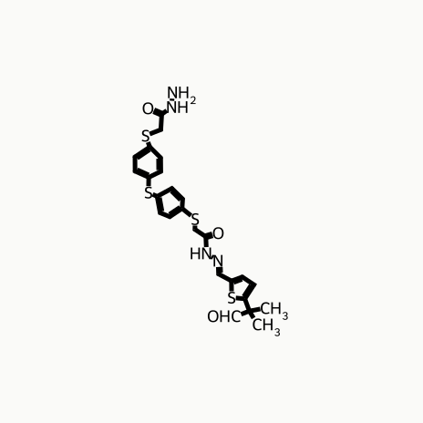 CC(C)(C=O)c1ccc(/C=N/NC(=O)CSc2ccc(Sc3ccc(SCC(=O)NN)cc3)cc2)s1